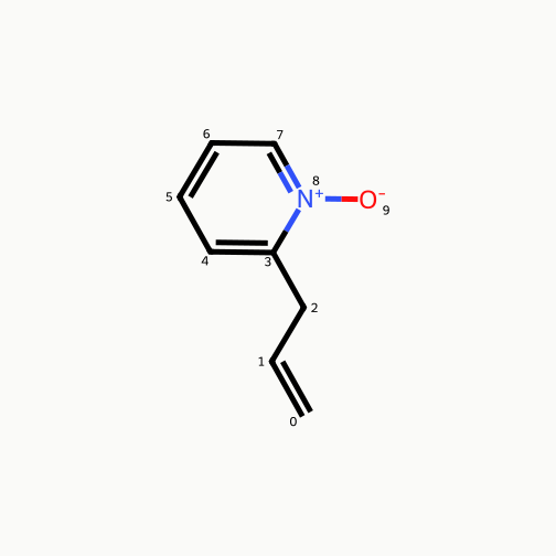 C=CCc1cccc[n+]1[O-]